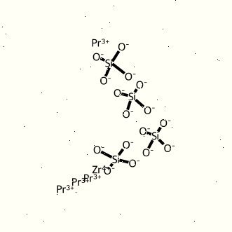 [O-][Si]([O-])([O-])[O-].[O-][Si]([O-])([O-])[O-].[O-][Si]([O-])([O-])[O-].[O-][Si]([O-])([O-])[O-].[Pr+3].[Pr+3].[Pr+3].[Pr+3].[Zr+4]